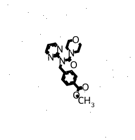 COC(=O)c1ccc(CN(C(=O)N2CCOCC2)c2ncccn2)cc1